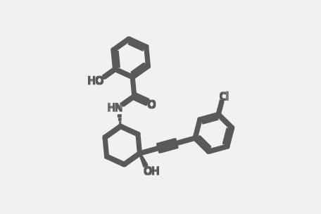 O=C(N[C@H]1CCC[C@@](O)(C#Cc2cccc(Cl)c2)C1)c1ccccc1O